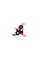 O=C1OC2(C3=C1C=C(N=C=S)CC3)c1ccc(O)cc1Oc1cc(O)ccc12